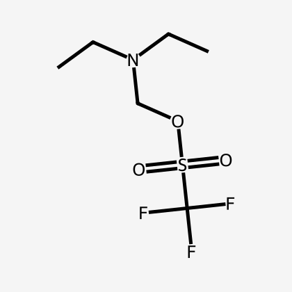 CCN(CC)COS(=O)(=O)C(F)(F)F